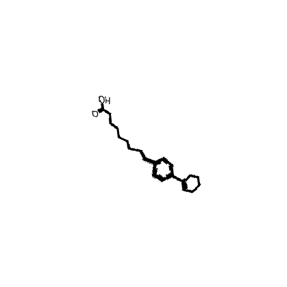 O=C(O)CCCCCCCCc1ccc(C2=CCCCC2)cc1